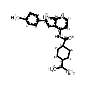 Cc1ccc(-c2cc3c(NC(=O)C4CCC(C(C)N)CC4)ccnc3[nH]2)cc1